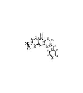 O=[N+]([O-])c1ccc(NC2CCN(Cc3ccccc3)CC2)c(F)c1